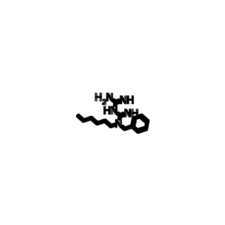 CCCCCCN(Cc1ccccc1)C(=N)NC(=N)N